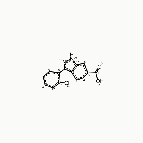 O=C(O)c1ccc2c(-c3ccccc3Cl)n[nH]c2c1